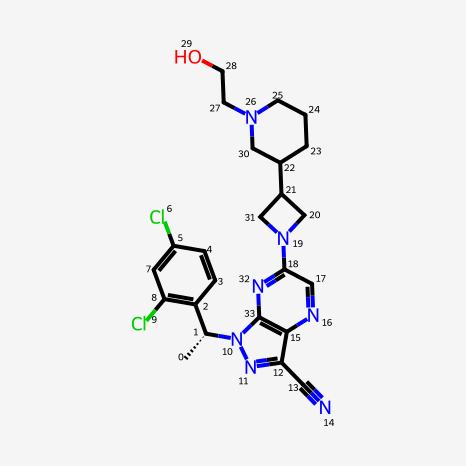 C[C@H](c1ccc(Cl)cc1Cl)n1nc(C#N)c2ncc(N3CC(C4CCCN(CCO)C4)C3)nc21